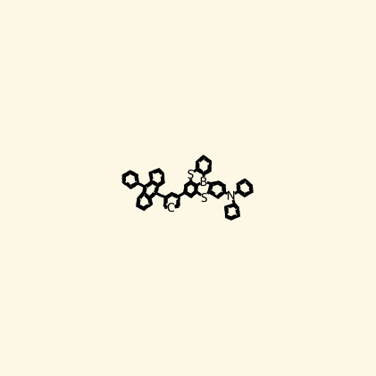 c1ccc(-c2c3ccccc3c(-c3cccc(-c4cc5c6c(c4)Sc4cc(N(c7ccccc7)c7ccccc7)ccc4B6c4ccccc4S5)c3)c3ccccc23)cc1